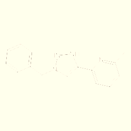 Cc1cccc(C2=CN(Cc3ccccc3)NN2)n1